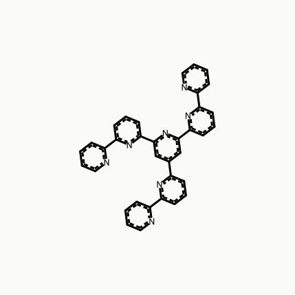 c1ccc(-c2cccc(-c3cc(-c4cccc(-c5ccccn5)n4)nc(-c4cccc(-c5ccccn5)n4)c3)n2)nc1